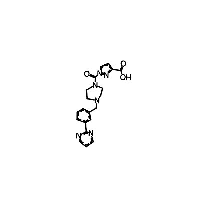 O=C(O)c1ccn(C(=O)N2CCN(Cc3cccc(-c4ncccn4)c3)CC2)n1